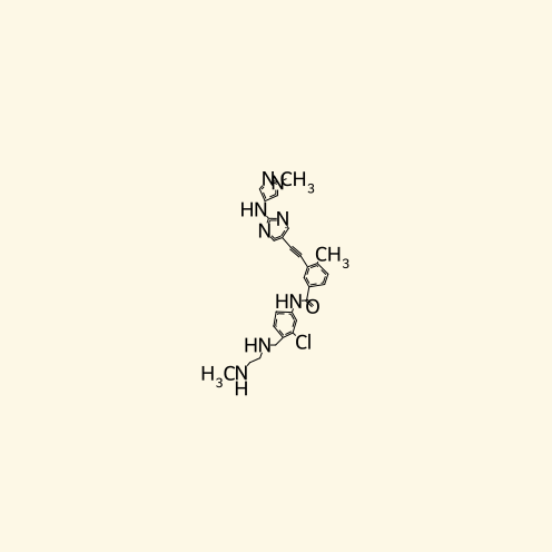 CNCCNCc1ccc(NC(=O)c2ccc(C)c(C#Cc3cnc(Nc4cnn(C)c4)nc3)c2)cc1Cl